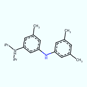 Cc1cc(C)cc(Nc2cc(C)cc([SiH](C(C)C)C(C)C)c2)c1